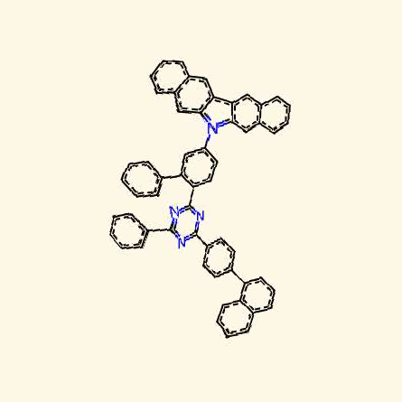 c1ccc(-c2nc(-c3ccc(-c4cccc5ccccc45)cc3)nc(-c3ccc(-n4c5cc6ccccc6cc5c5cc6ccccc6cc54)cc3-c3ccccc3)n2)cc1